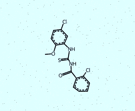 COc1ccc(Cl)cc1NC(=S)NC(=O)c1ccccc1Cl